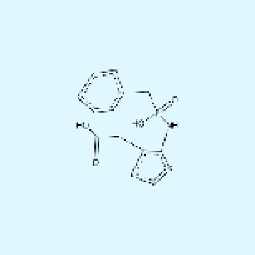 O=C(O)Cc1ccsc1NP(=O)(O)Cc1ccccc1